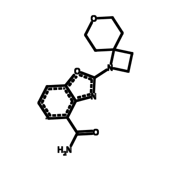 NC(=O)c1[c]ccc2oc(N3CCC34CCOCC4)nc12